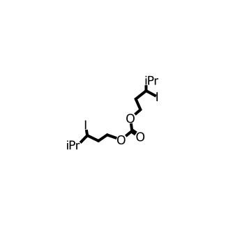 CC(C)C(I)CCOC(=O)OCCC(I)C(C)C